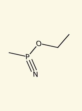 CCOP(C)#N